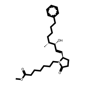 COC(=O)CCCCCCN1C(=O)CC[C@@H]1/C=C/[C@@H](O)[C@H](C)CCCCc1ccccc1